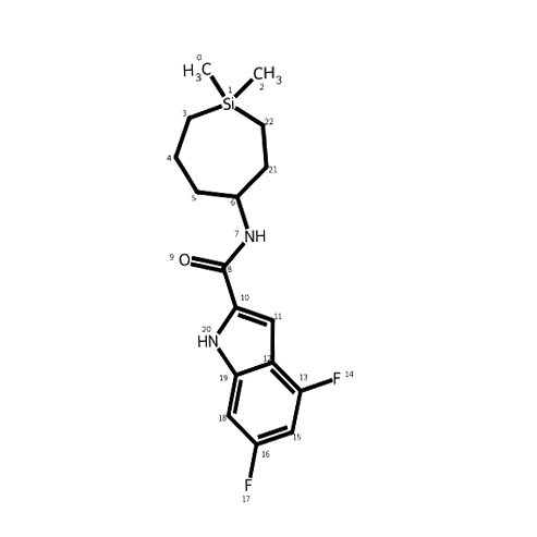 C[Si]1(C)CCCC(NC(=O)c2cc3c(F)cc(F)cc3[nH]2)CC1